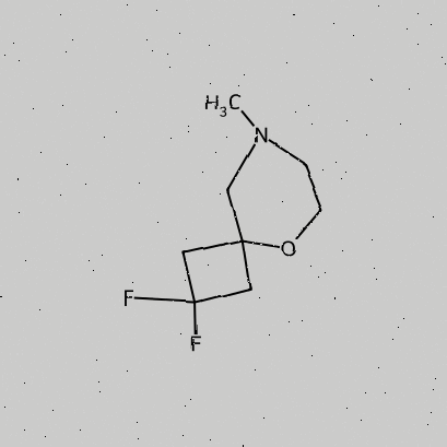 CN1CCOC2(C1)CC(F)(F)C2